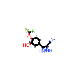 N#Cc1[nH][nH]c1-c1ccc(OC(F)F)c(O)c1